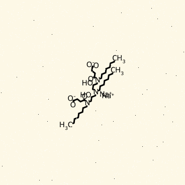 CCCCCCCCN(CC(O)CN(CCCCCCCC)C(=O)CCC(=O)[O-])CC(O)CN(CCCCCCCC)C(=O)CCC(=O)[O-].[Na+].[Na+]